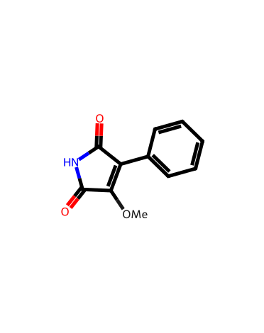 COC1=C(c2ccccc2)C(=O)NC1=O